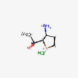 COC(=O)C1SCCC1N.Cl